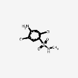 CNS(=O)(=O)c1cc(Cl)c(N)cc1Cl